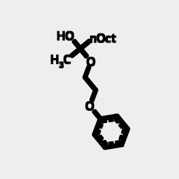 CCCCCCCCC(C)(O)OCCOc1ccccc1